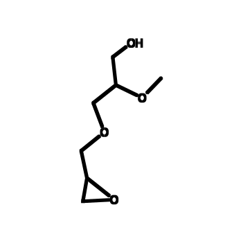 COC(CO)COCC1CO1